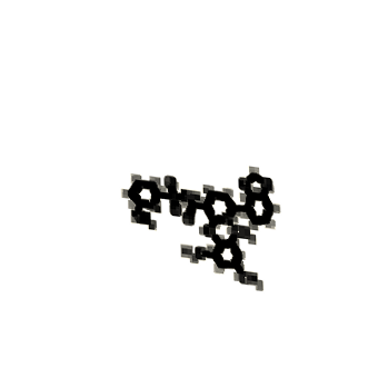 Cc1cc(C)c(Oc2nc(-c3cccc4c3OCO4)ccc2C(=O)NS(=O)(=O)c2cccc(N)n2)c(C)c1